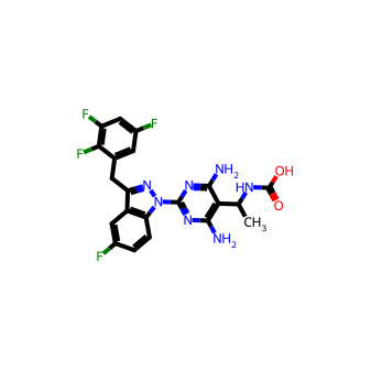 CC(NC(=O)O)c1c(N)nc(-n2nc(Cc3cc(F)cc(F)c3F)c3cc(F)ccc32)nc1N